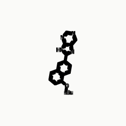 CCCCOc1cccc2cc(-c3nc4cncnc4[nH]3)ccc12